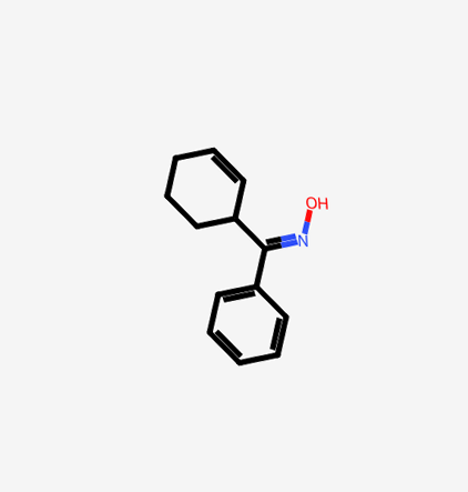 O/N=C(/c1ccccc1)C1C=CCCC1